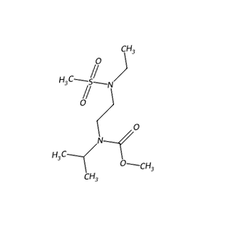 CCN(CCN(C(=O)OC)C(C)C)S(C)(=O)=O